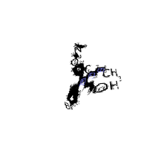 C\C=C/C=C(C)/C(CCCO)=C(/c1ccc(Br)cc1)c1ccc(OCCN2CC2)cc1